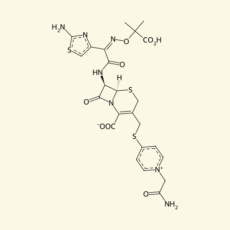 CC(C)(O/N=C(\C(=O)N[C@@H]1C(=O)N2C(C(=O)[O-])=C(CSc3cc[n+](CC(N)=O)cc3)CS[C@H]12)c1csc(N)n1)C(=O)O